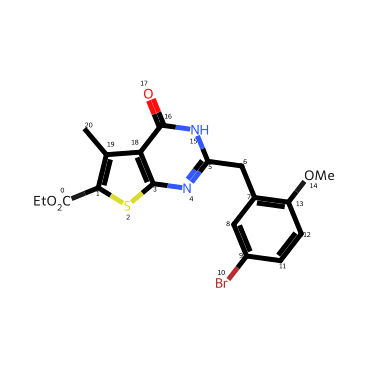 CCOC(=O)c1sc2nc(Cc3cc(Br)ccc3OC)[nH]c(=O)c2c1C